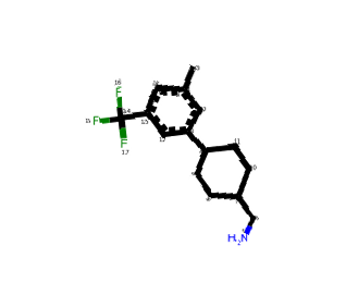 Cc1cc(C2CCC(CN)CC2)cc(C(F)(F)F)c1